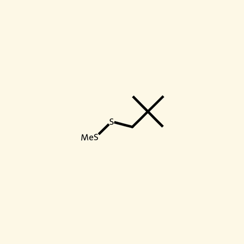 CSSCC(C)(C)C